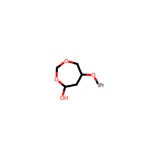 CC(C)OC1COCOC(O)C1